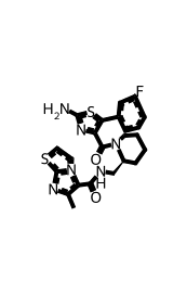 Cc1nc2sccn2c1C(=O)NC[C@@H]1CCCCN1C(=O)c1nc(N)sc1-c1cccc(F)c1